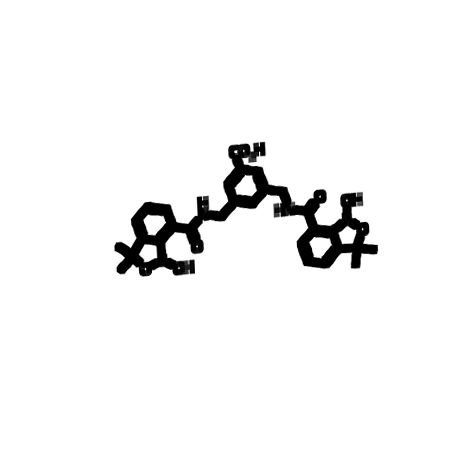 CC1(C)OB(O)c2c(C(=O)NCc3cc(CNC(=O)c4cccc5c4B(O)OC5(C)C)cc(C(=O)O)c3)cccc21